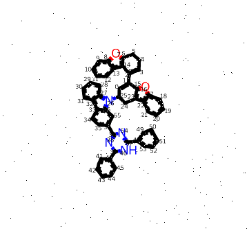 C1=C(C2=CCCc3oc4ccccc4c32)c2oc3ccccc3c2CC1n1c2ccccc2c2ccc(C3=NC(c4ccccc4)NC(c4ccccc4)=N3)cc21